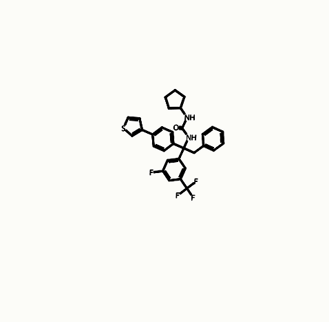 O=C(NC1CCCC1)NC(Cc1ccccc1)(c1ccc(-c2ccsc2)cc1)c1cc(F)cc(C(F)(F)F)c1